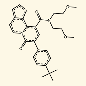 COCCN(CCOC)C(=O)c1cc(-c2ccc(C(C)(C)C)cc2)c(=O)n2ccc3ccsc3c12